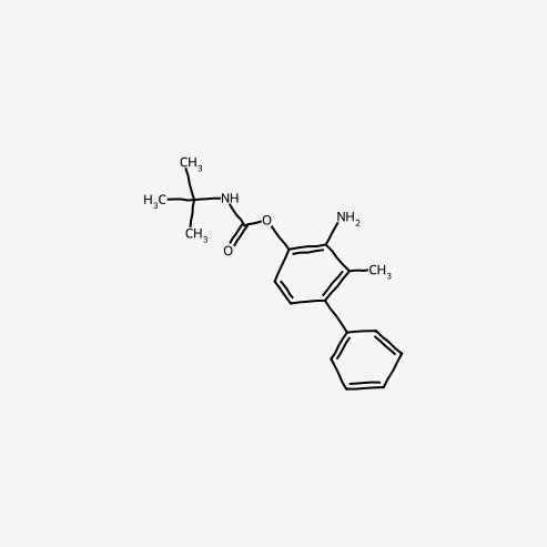 Cc1c(-c2ccccc2)ccc(OC(=O)NC(C)(C)C)c1N